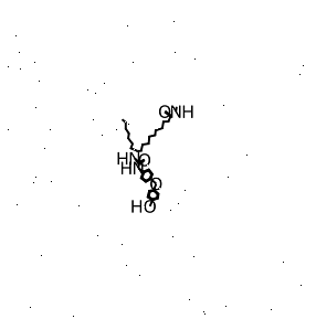 CCCCCCCC(CCCCCCCCCC(=O)NC)NC(=O)Nc1ccc(Oc2ccc(O)cc2)cc1